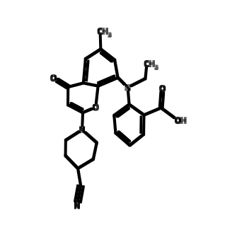 CCN(c1ccccc1C(=O)O)c1cc(C)cc2c(=O)cc(N3CCC(C#N)CC3)oc12